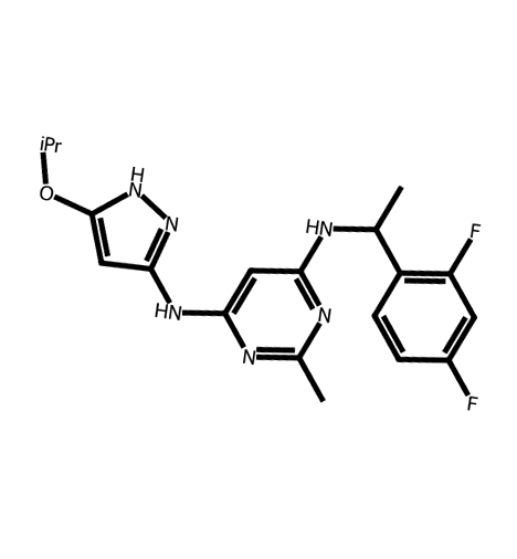 Cc1nc(Nc2cc(OC(C)C)[nH]n2)cc(NC(C)c2ccc(F)cc2F)n1